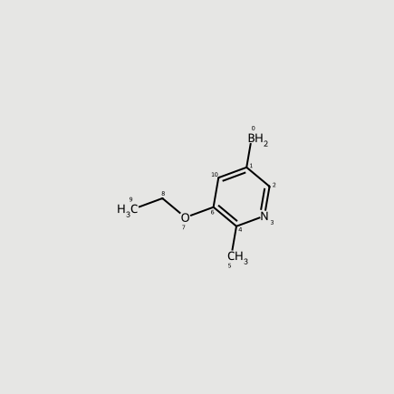 Bc1cnc(C)c(OCC)c1